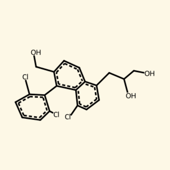 OCc1ccc2c(CC(O)CO)ccc(Cl)c2c1-c1c(Cl)cccc1Cl